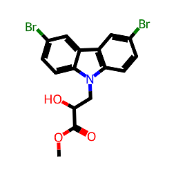 COC(=O)C(O)Cn1c2ccc(Br)cc2c2cc(Br)ccc21